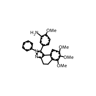 COc1ccc(-c2c3c(nn2-c2ccccc2)CCc2c-3cc(OC)c(OC)c2OC)cc1N